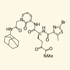 CNC(=O)C(=O)CC[C@H](NC(=O)c1nc(Br)sc1C)C(=O)Nc1cccn(CC(=O)NC2C3CC4CC(C3)CC2C4)c1=O